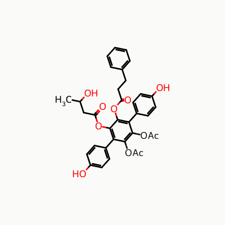 CC(=O)Oc1c(OC(C)=O)c(-c2ccc(O)cc2)c(OC(=O)CC(C)O)c(OC(=O)CCc2ccccc2)c1-c1ccc(O)cc1